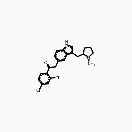 CN1CCCC1Cc1c[nH]c2ccc(CC(=O)c3ccc(Cl)cc3Cl)cc12